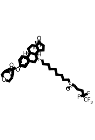 C[C@]12CC[C@@H]3c4ccc(OC(=O)N5C6CCC5COC6)cc4C[C@@H](CCCCCCCCC[S+]([O-])CCCC(F)(F)C(F)(F)F)[C@H]3[C@@H]1CCC2=O